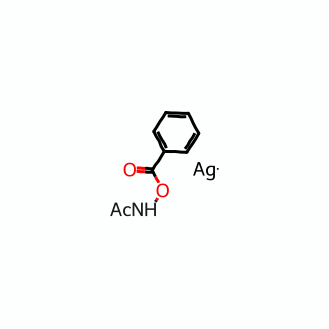 CC(=O)NOC(=O)c1ccccc1.[Ag]